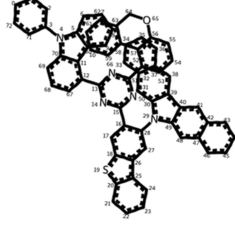 c1ccc(-n2c3ccccc3c3c(-c4nc(-c5cc6sc7ccccc7c6cc5-n5c6cc7ccccc7cc6c6cc7ccccc7cc65)nc(-c5cccc6c5-c5ccccc5CO6)n4)cccc32)cc1